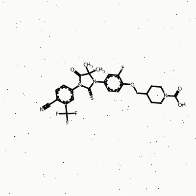 CC1(C)C(=O)N(c2ccc(C#N)c(C(F)(F)F)c2)C(=S)N1c1ccc(OCC2CCN(C(=O)O)CC2)c(F)c1